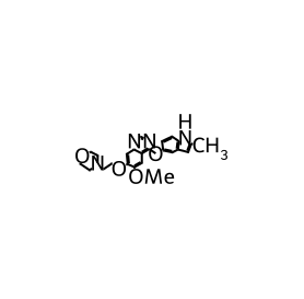 COc1cc2c(Oc3ccc4[nH]c(C)cc4c3)ncnc2cc1OCCN1CCOCC1